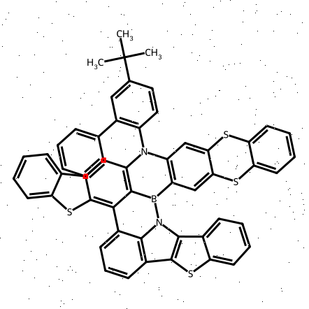 CC(C)(C)c1ccc(N2c3cc4c(cc3B3c5c2cc2c(sc6ccccc62)c5-c2cccc5c6sc7ccccc7c6n3c25)Sc2ccccc2S4)c(-c2ccccc2)c1